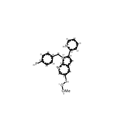 COOSc1cnc2c(c1)cc(-c1ccccn1)n2Cc1ccc(F)cc1